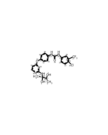 C[C@H](O)[C@](C)(O)Nc1nccc(Oc2ccc(NC(=O)Nc3ccc(Cl)c(C(F)(F)F)c3)cc2)n1